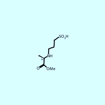 COC(=O)[C@@H](C)NCCCS(=O)(=O)O